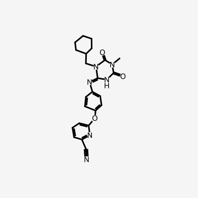 Cn1c(=O)[nH]/c(=N\c2ccc(Oc3cccc(C#N)n3)cc2)n(CC2CCCCC2)c1=O